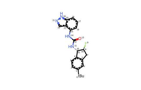 CC(C)(C)c1ccc2c(c1)C[C@H](F)[C@H]2NC(=O)Nc1cccc2[nH]ncc12